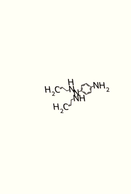 C=CCNN(NCC=C)c1ccc(N)cc1